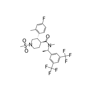 Cc1cc(F)ccc1[C@H]1CN(S(C)(=O)=O)CC[C@@H]1C(=O)N(C)[C@H](C)c1cc(C(F)(F)F)cc(C(F)(F)F)c1